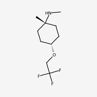 CN[C@]1(C)CC[C@H](OCC(F)(F)F)CC1